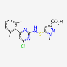 Cc1cccc(C)c1-c1cc(Cl)nc(NSc2cc(C(=O)O)nn2C)n1